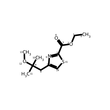 CCOC(=O)c1nc(CC(C)(C)OC)cs1